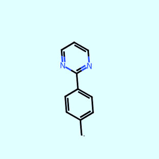 [CH2]c1ccc(-c2ncccn2)cc1